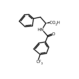 O=C(N[C@@H](Cc1ccccc1)C(=O)O)c1ccc(C(F)(F)F)cc1